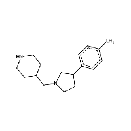 Cc1ccc(C2CCN(CC3CCNCC3)C2)cc1